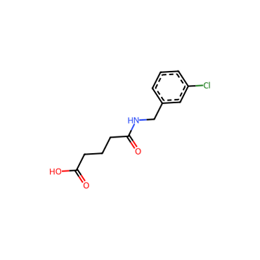 O=C(O)CCCC(=O)NCc1cccc(Cl)c1